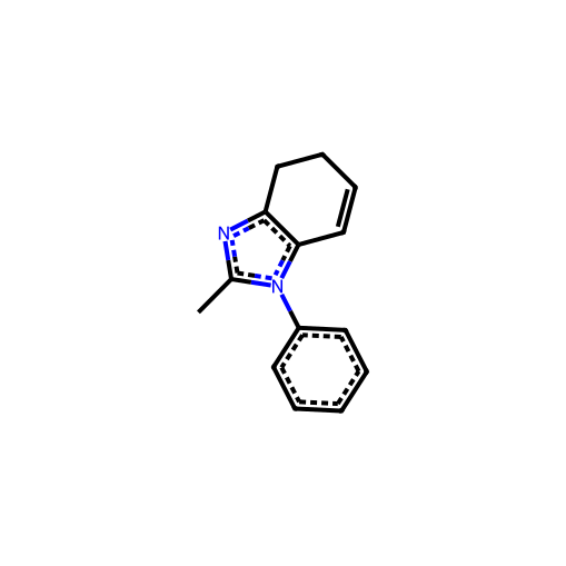 Cc1nc2c(n1-c1ccccc1)C=CCC2